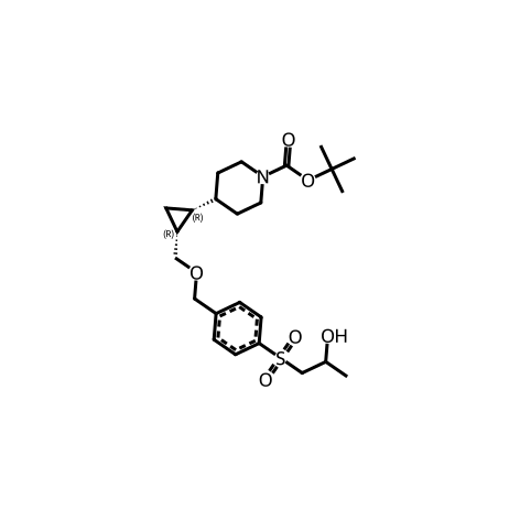 CC(O)CS(=O)(=O)c1ccc(COC[C@@H]2C[C@@H]2C2CCN(C(=O)OC(C)(C)C)CC2)cc1